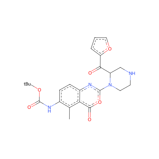 Cc1c(NC(=O)OC(C)(C)C)ccc2nc(N3CCNCC3C(=O)c3ccco3)oc(=O)c12